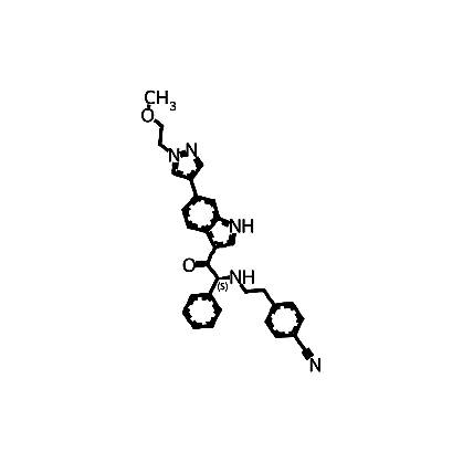 COCCn1cc(-c2ccc3c(C(=O)[C@@H](NCCc4ccc(C#N)cc4)c4ccccc4)c[nH]c3c2)cn1